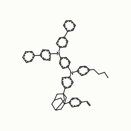 C=Cc1ccc(C23CC4CC(C2)CC(c2ccc(N(c5ccc(CCCC)cc5)c5ccc(N(c6ccc(-c7ccccc7)cc6)c6ccc(-c7ccccc7)cc6)cc5)cc2)(C4)C3)cc1